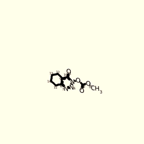 COC(=O)On1nnc2c(c1=O)CCCC2